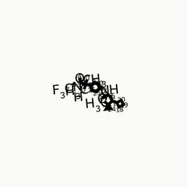 CC(C)(C(=O)NCC(F)(F)F)c1ccc(NC(=O)CC(C2CCC2)C2(C)CC2)cc1